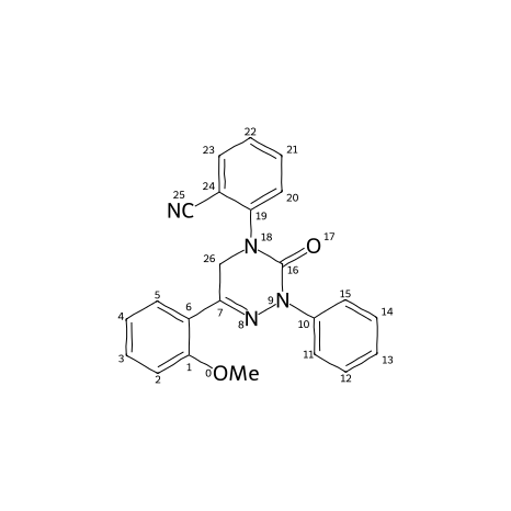 COc1ccccc1C1=NN(c2ccccc2)C(=O)N(c2ccccc2C#N)C1